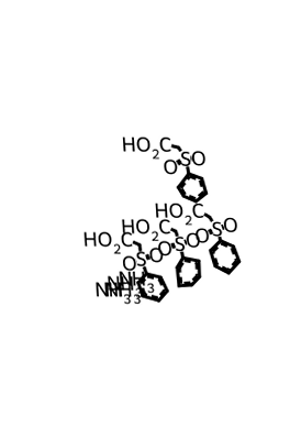 N.N.N.N.O=C(O)CS(=O)(=O)c1ccccc1.O=C(O)CS(=O)(=O)c1ccccc1.O=C(O)CS(=O)(=O)c1ccccc1.O=C(O)CS(=O)(=O)c1ccccc1